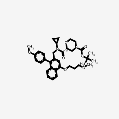 COCCCOc1cc(CN(C(=O)[C@H]2CN(C(=O)OC(C)(C)C)CCO2)C2CC2)c(-c2ccc(OC)cc2)c2ccccc12